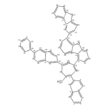 CC1=C(c2ccc3ccccc3c2)N=C(c2cccc3oc4c(-c5ccc6sc7ccccc7c6c5)cccc4c23)N=C(c2ccc3cc(-c4ccccc4)ccc3c2)C1